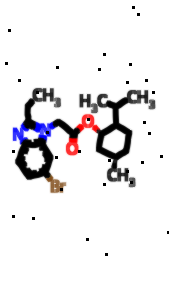 CCc1nc2ccc(Br)cc2n1CC(=O)O[C@@H]1C[C@H](C)CCC1C(C)C